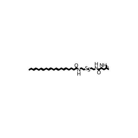 CCC=CCC=CCC=CCC=CCC=CCCCC(=O)NCCSSCCNC(=O)C(N)CC(C)C